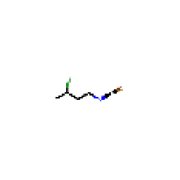 CC(Cl)CCN=C=S